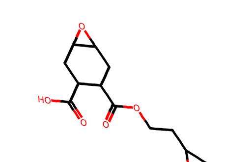 O=C(O)C1CC2OC2CC1C(=O)OCCC1CO1